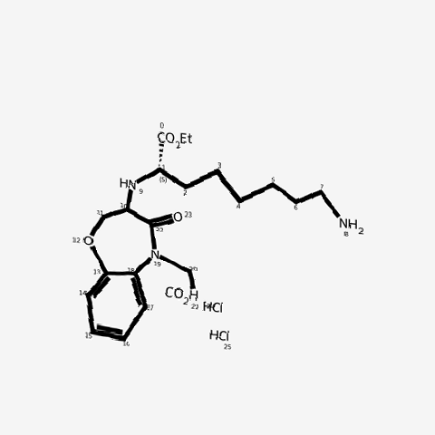 CCOC(=O)[C@H](CCCCCCN)NC1COc2ccccc2N(CC(=O)O)C1=O.Cl.Cl